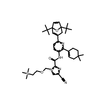 CC1(C)CC=C(c2nc(C3=CC4(C(C)(C)C)C=CC(C(C)(C)C)(C3)O4)ccc2NC(=O)c2nc(C#N)cn2COCC[Si](C)(C)C)CC1